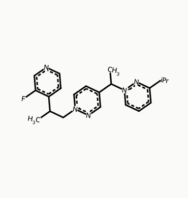 CC(C)c1ccc[n+](C(C)c2cc[n+](CC(C)c3ccncc3F)nc2)n1